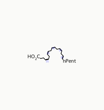 CCCCC/C=C/C/C=C\C/C=C\C/C=C\C/C=C\CCC(=O)O